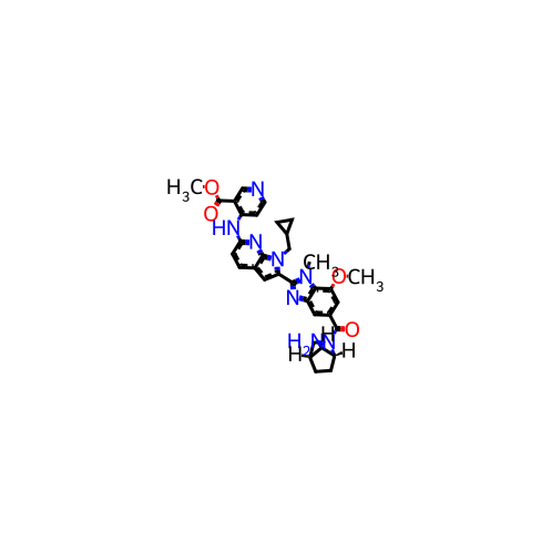 COC(=O)c1cnccc1Nc1ccc2cc(-c3nc4cc(C(=O)N5C[C@H]6CC[C@@H]5[C@@H]6N)cc(OC)c4n3C)n(CC3CC3)c2n1